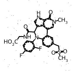 Cn1cc2c3c(c[nH]c3c1=O)C(C(=O)NCC(=O)O)N(c1ccc(F)cc1F)c1ccc(CS(C)(=O)=O)cc1-2